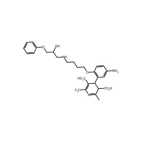 CC1=NC(C(F)(F)F)=C(C(=O)O)C(c2cc([N+](=O)[O-])ccc2OCCCCNCC(O)COc2ccccc2)C1C(=O)O